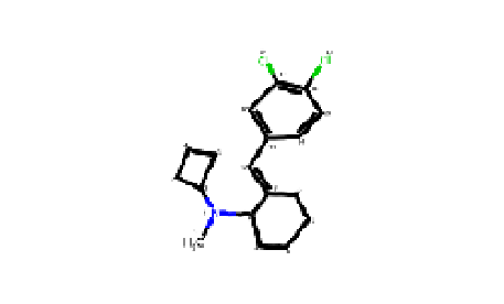 CN(C1CCC1)C1CCCCC1=Cc1ccc(Cl)c(Cl)c1